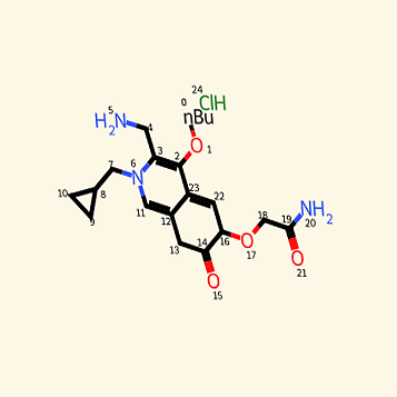 CCCCOC1=C(CN)N(CC2CC2)C=C2CC(=O)C(OCC(N)=O)C=C21.Cl